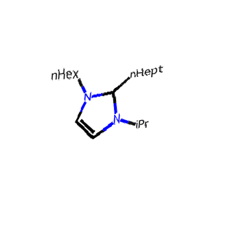 CCCCCCCC1N(CCCCCC)C=CN1C(C)C